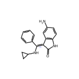 Nc1ccc2c(c1)/C(=C(/NC1CC1)c1ccccc1)C(=O)N2